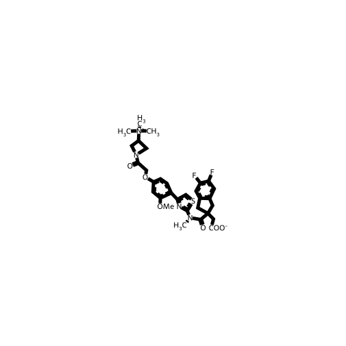 COc1cc(OCC(=O)N2CC([N+](C)(C)C)C2)ccc1-c1csc(N(C)C(=O)C2(CC(=O)[O-])Cc3cc(F)c(F)cc3C2)n1